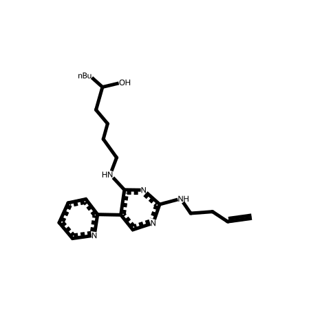 C=CCCNc1ncc(-c2ccccn2)c(NCCCCC(O)CCCC)n1